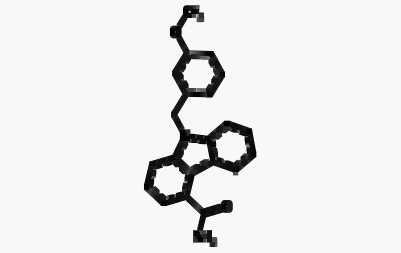 NC(=O)c1cccc2c1c1[c]cccc1n2Cc1cccc(OC(F)(F)F)c1